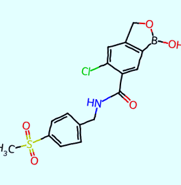 CS(=O)(=O)c1ccc(CNC(=O)c2cc3c(cc2Cl)COB3O)cc1